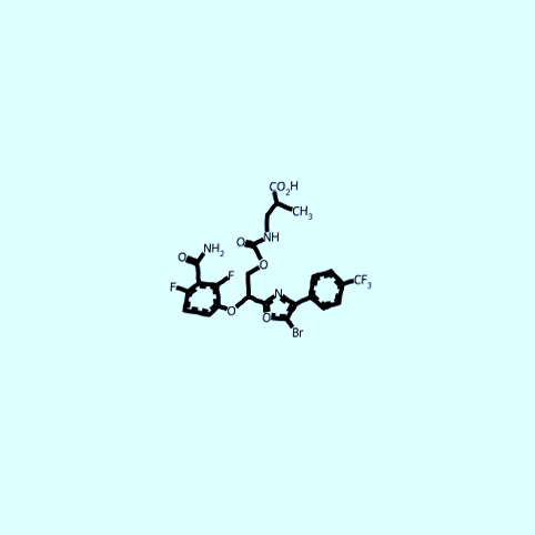 CC(CNC(=O)OCC(Oc1ccc(F)c(C(N)=O)c1F)c1nc(-c2ccc(C(F)(F)F)cc2)c(Br)o1)C(=O)O